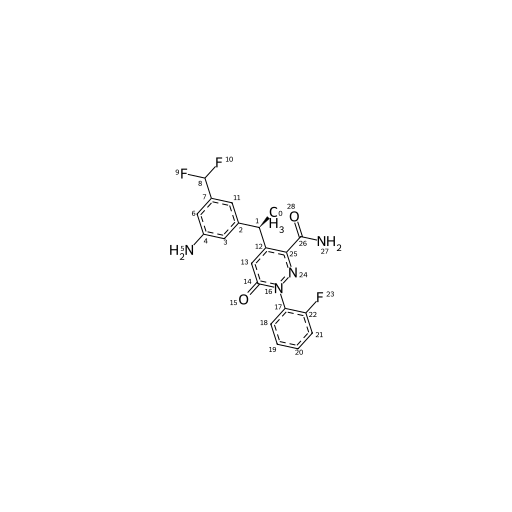 C[C@H](c1cc(N)cc(C(F)F)c1)c1cc(=O)n(-c2ccccc2F)nc1C(N)=O